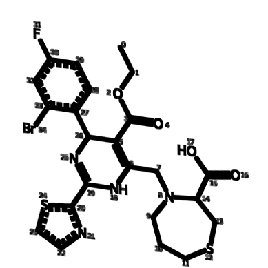 CCOC(=O)C1=C(CN2CCCSCC2C(=O)O)NC(c2nccs2)=NC1c1ccc(F)cc1Br